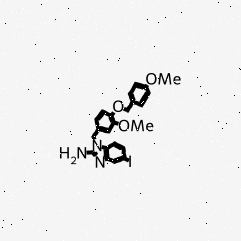 COc1ccc(COc2ccc(Cn3c(N)nc4cc(I)ccc43)cc2OC)cc1